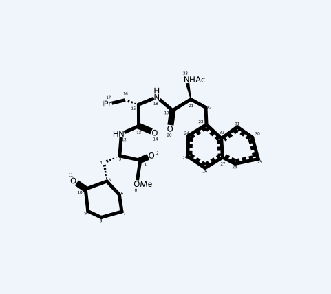 COC(=O)[C@H](C[C@@H]1CCCCC1=O)NC(=O)[C@H](CC(C)C)NC(=O)[C@H](Cc1cccc2ccccc12)NC(C)=O